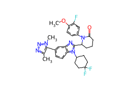 COc1ccc(N2C(=O)CCCC2c2nc3cc(-c4c(C)nnn4C)ccc3n2C2CCC(F)(F)CC2)cc1F